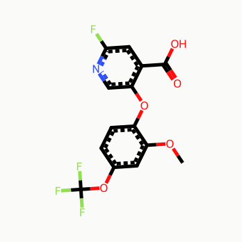 COc1cc(OC(F)(F)F)ccc1Oc1cnc(F)cc1C(=O)O